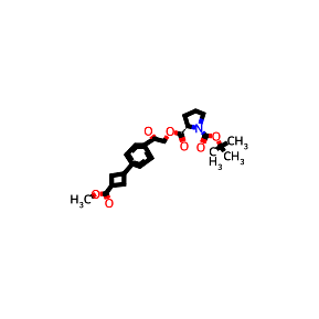 COC(=O)C1CC(c2ccc(C(=O)COC(=O)[C@@H]3CCCN3C(=O)OC(C)(C)C)cc2)C1